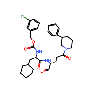 O=C[C@@H](CCC(=O)N1CCCC(c2ccccc2)C1)NC(=O)[C@@H](CC1CCCCC1)NC(=O)OCc1cccc(Cl)c1